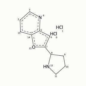 Cl.Cl.c1cnc2cc(C3CCCN3)oc2c1